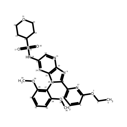 CCOc1cccc(-c2nc3ncc(NS(=O)(=O)C4CCOCC4)nc3n2-c2c(OC)cccc2OC)n1